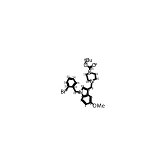 COc1ccc2c(c1)c(CN1CCN(C(=O)OC(C)(C)C)CC1)cn2Cc1ccccc1Br